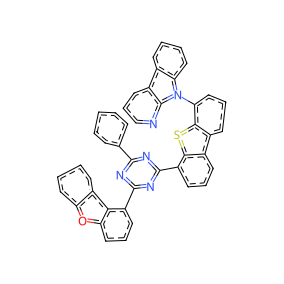 c1ccc(-c2nc(-c3cccc4c3sc3c(-n5c6ccccc6c6cccnc65)cccc34)nc(-c3cccc4oc5ccccc5c34)n2)cc1